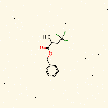 CC(C[Si](F)(F)F)C(=O)OCc1ccccc1